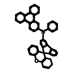 C1=CC2=C(CC1)C1(c3ccccc3O2)c2ccccc2-c2cc(N(c3ccccc3)c3ccc4c5ccccc5c5ccccc5c4c3)ccc21